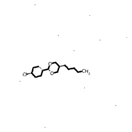 CCCCC[C@H]1CO[C@H]([C@H]2CC[C@H](Cl)CC2)OC1